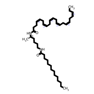 CC/C=C\C/C=C\C/C=C\C/C=C\C/C=C\C/C=C\CCC(=O)N[C@H](C)CCCCNC(=O)CCCCCCCCCCCCC